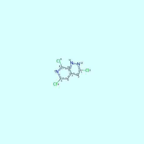 Clc1cc2cc(Cl)nc(Cl)c2nn1